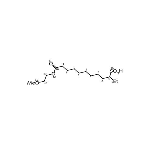 CCC(CCCCCCCCC(=O)OCCOC)S(=O)(=O)O